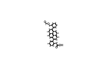 O=COCc1ccccc1-c1ccc2ccc3c(-c4ccccc4CC(=O)O)ccc4ccc1c2c43